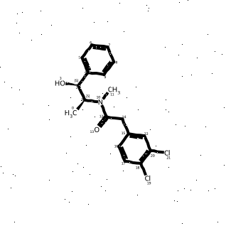 C[C@@H]([C@@H](O)c1ccccc1)N(C)C(=O)Cc1ccc(Cl)c(Cl)c1